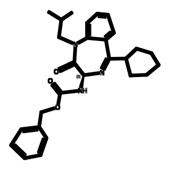 CC(C)CN1C(=O)[C@H](NC(=O)OCc2ccccc2)N=C(C2CCCCC2)c2ccccc21